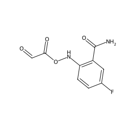 NC(=O)c1cc(F)ccc1NOC(=O)C=O